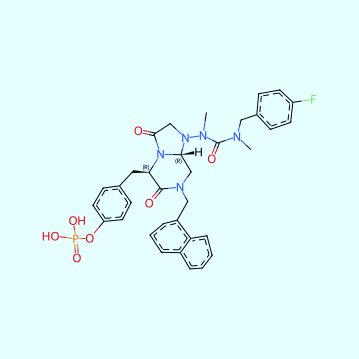 CN(Cc1ccc(F)cc1)C(=O)N(C)N1CC(=O)N2[C@H](Cc3ccc(OP(=O)(O)O)cc3)C(=O)N(Cc3cccc4ccccc34)C[C@H]21